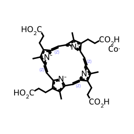 Cc1c2[n-]c(c1CCC(=O)O)/C=c1\[n-]/c(c(CCC(=O)O)c1C)=C\c1[n-]c(c(CCC(=O)O)c1C)/C=c1\[n-]/c(c(CCC(=O)O)c1C)=C\2.[Co]